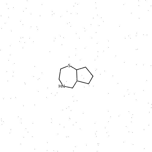 C1CC2CNCCSC2C1